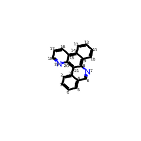 c1ccc2c(c1)cnc1c3ccccc3c3cccnc3c21